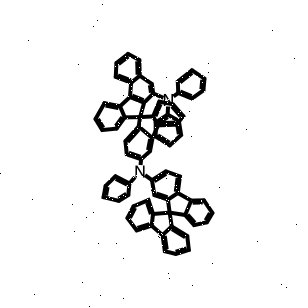 c1ccc(N(c2ccc3c(c2)-c2ccccc2C32c3ccccc3-c3c2c(N(c2ccccc2)c2ccccc2)cc2ccccc32)c2ccc3c(c2)C2(c4ccccc4-c4ccccc42)c2ccccc2-3)cc1